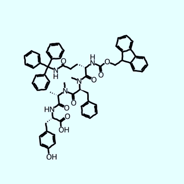 C[C@@H](C(=O)N[C@@H](Cc1ccc(O)cc1)C(=O)O)N(C)C(=O)[C@H](Cc1ccccc1)N(C)C(=O)[C@H](CCC(=O)NC(c1ccccc1)(c1ccccc1)c1ccccc1)NC(=O)OCC1c2ccccc2-c2ccccc21